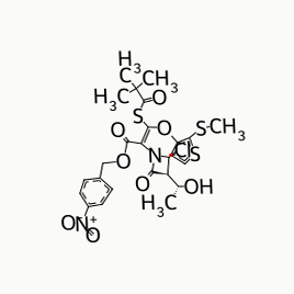 CSc1sccc1OC(SC(=O)C(C)(C)C)=C(C(=O)OCc1ccc([N+](=O)[O-])cc1)N1C(=O)[C@H]([C@@H](C)O)[C@@H]1Cl